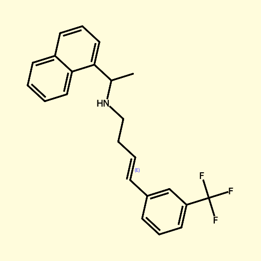 CC(NCC/C=C/c1cccc(C(F)(F)F)c1)c1cccc2ccccc12